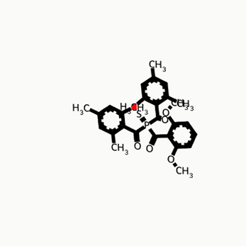 COc1cccc(OC)c1C(=O)P(=S)(C(=O)c1c(C)cc(C)cc1C)C(=O)c1c(C)cc(C)cc1C